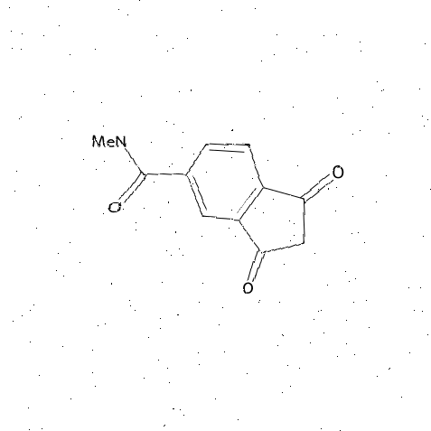 CNC(=O)c1ccc2c(c1)C(=O)CC2=O